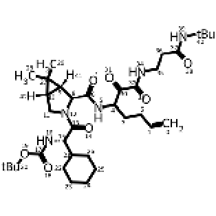 C=CCCC(NC(=O)[C@@H]1[C@@H]2[C@H](CN1C(=O)[C@@H](NC(=O)OC(C)(C)C)C1CCCCC1)C2(C)C)C(=O)C(=O)NCCC(=O)NC(C)(C)C